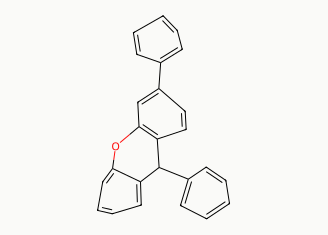 c1ccc(-c2ccc3c(c2)Oc2ccccc2C3c2ccccc2)cc1